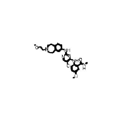 CNC(=O)c1cc(OC)ccc1Nc1nc(Nc2ccc3c(c2)CCN(CCOC)CC3)ncc1Cl